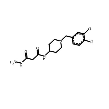 NNC(=O)CC(=O)NC1CCN(Cc2ccc(Cl)c(Cl)c2)CC1